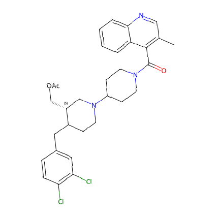 CC(=O)OC[C@@H]1CN(C2CCN(C(=O)c3c(C)cnc4ccccc34)CC2)CCC1Cc1ccc(Cl)c(Cl)c1